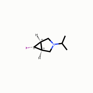 CC(C)N1C[C@@H]2[C@@H](I)[C@@H]2C1